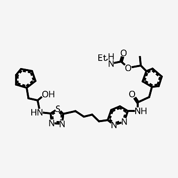 CCNC(=O)OC(C)c1cccc(CC(=O)Nc2ccc(CCCCc3nnc(NC(O)Cc4ccccc4)s3)nn2)c1